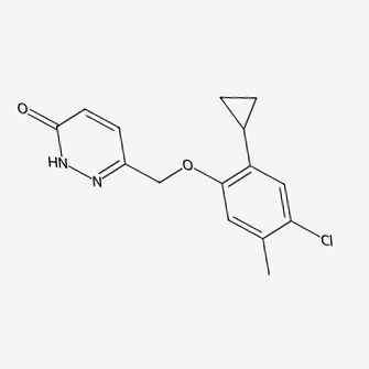 Cc1cc(OCc2ccc(=O)[nH]n2)c(C2CC2)cc1Cl